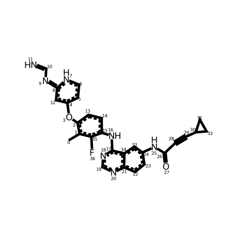 Cc1c(Oc2cc[nH]/c(=N\C=N)c2)ccc(Nc2ncnc3ccc(NC(=O)C#CC4CC4)cc23)c1F